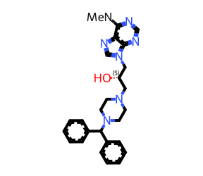 CNc1ncnc2c1ncn2C[C@@H](O)CN1CCN(C(c2ccccc2)c2ccccc2)CC1